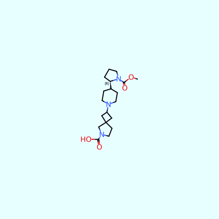 COC(=O)N1CCC[C@@H]1C1CCN(C2CC3(CCN(C(=O)O)C3)C2)CC1